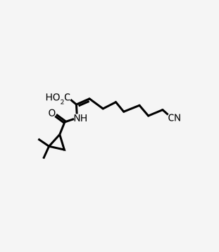 CC1(C)CC1C(=O)N/C(=C\CCCCCCC#N)C(=O)O